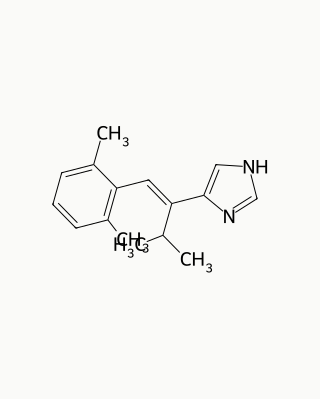 Cc1cccc(C)c1/C=C(/c1c[nH]cn1)C(C)C